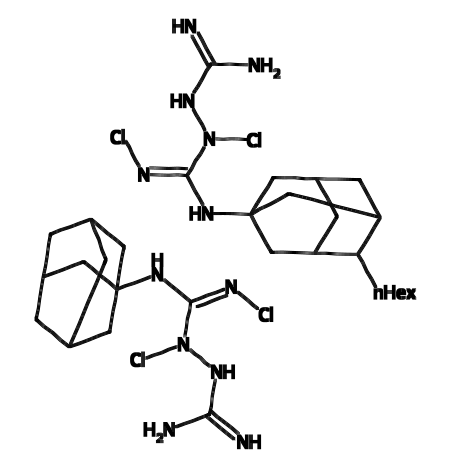 CCCCCCC1C2CC3CC1CC(NC(=NCl)N(Cl)NC(=N)N)(C3)C2.N=C(N)NN(Cl)C(=NCl)NC12CC3CC(CC(C3)C1)C2